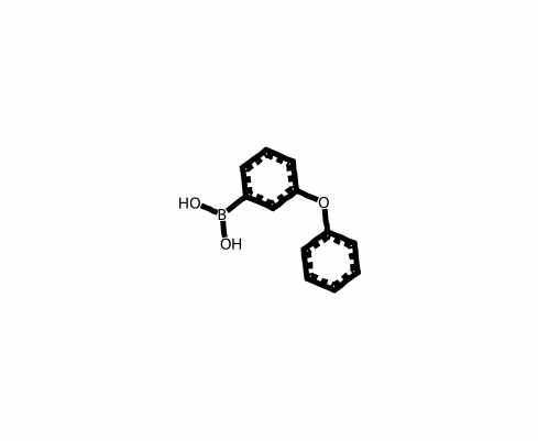 OB(O)c1cccc(Oc2ccccc2)c1